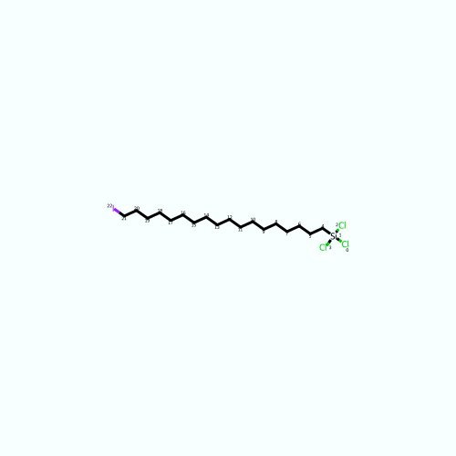 Cl[Si](Cl)(Cl)CCCCCCCCCCCCCCCCCCI